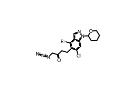 [N-]=[N+]=NCC(=O)CCc1c(Cl)cc2c(cnn2C2CCCCO2)c1Br